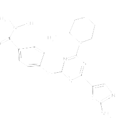 C[C@@H]1COCCN1c1nc(Oc2ccc(C(=O)N(C)C)cc2)nc(-c2cnc(N)s2)n1